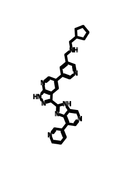 c1cncc(-c2cncc3[nH]c(-c4n[nH]c5ncc(-c6cncc(CNCC7CCCC7)c6)cc45)nc23)c1